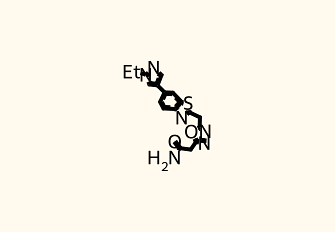 CCn1cc(-c2ccc3nc(Cc4nnc(CC(N)=O)o4)sc3c2)cn1